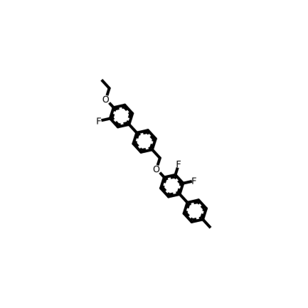 CCOc1ccc(-c2ccc(COc3ccc(-c4ccc(C)cc4)c(F)c3F)cc2)cc1F